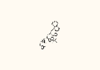 CC(C)(C)OC(=O)C(CC(=O)CN1CCOCC1)Cc1cccc2ccccc12